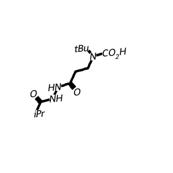 CC(C)C(=O)NNC(=O)CCN(C(=O)O)C(C)(C)C